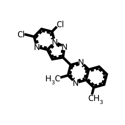 Cc1nc2c(C)cccc2nc1-c1cc2nc(Cl)cc(Cl)n2n1